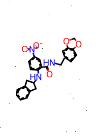 O=C(NCc1ccc2c(c1)OCO2)c1cc([N+](=O)[O-])ccc1NC1Cc2ccccc2C1